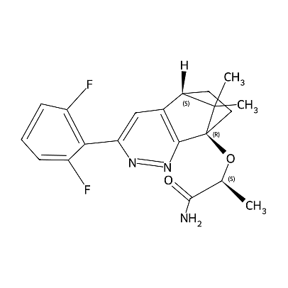 C[C@H](O[C@@]12CC[C@@H](c3cc(-c4c(F)cccc4F)nnc31)C2(C)C)C(N)=O